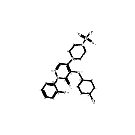 CCCS(=O)(=O)N1CCN(c2cnn(-c3ccccc3F)c(=O)c2OC2CCC(CC)CC2)CC1